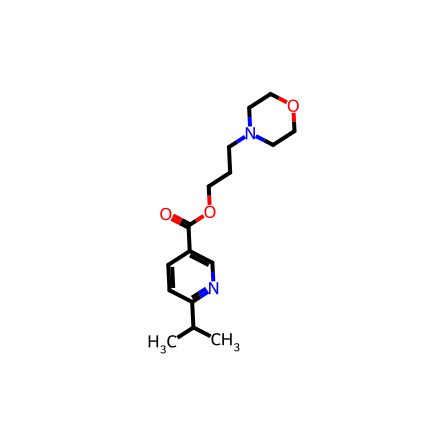 CC(C)c1ccc(C(=O)OCCCN2CCOCC2)cn1